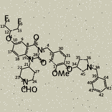 COc1cc(Cn2c(=O)c3cc(OC(CF)CF)ccc3n(C3CCN(C=O)CC3)c2=O)ccc1OC1CCN(Cc2ccccc2)C1